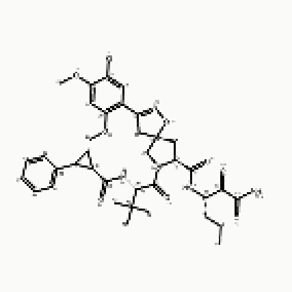 CCC[C@H](NC(=O)[C@@H]1C[C@]2(CC(c3cc(Cl)c(OC)cc3OC)=NO2)CN1C(=O)[C@@H](NC(=O)[C@@H]1CC1c1ccccc1)C(C)(C)C)C(=O)C(N)=O